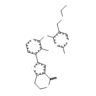 CCOCc1cnc(Cl)nc1Oc1nccc(-c2cc3c([nH]2)CCNC3=O)c1F